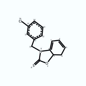 S=C1OC2CC=CC=C2N1Cc1cccc(Cl)c1